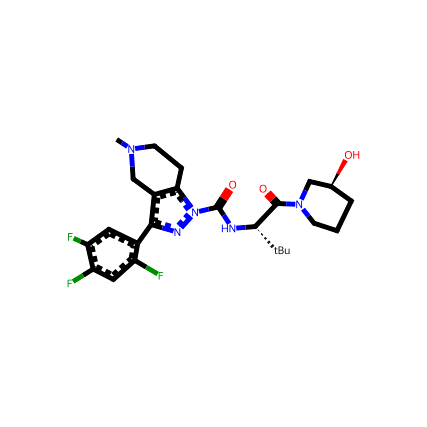 CN1CCc2c(c(-c3cc(F)c(F)cc3F)nn2C(=O)N[C@H](C(=O)N2CCC[C@H](O)C2)C(C)(C)C)C1